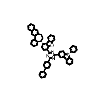 c1ccc(-c2ccc(-c3nc(-c4ccc5c(c4)c4ccccc4n5-c4ccccc4)nc(-c4ccc([C@H]5CCc6cc7ccccc7cc6-c6ccccc65)c5c4oc4ccccc45)n3)cc2)cc1